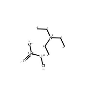 CCN(CC)CC.O=[N+]([O-])OCl